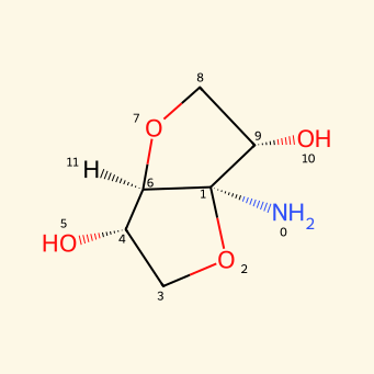 N[C@]12OC[C@H](O)[C@H]1OC[C@@H]2O